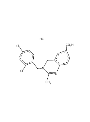 CC1=Nc2ccc(C(=O)O)cc2CN1Cc1ccc(Cl)cc1Cl.Cl